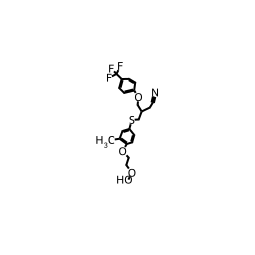 Cc1cc(SCC(CC#N)COc2ccc(C(F)(F)F)cc2)ccc1OCCOO